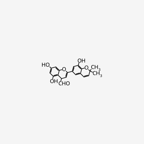 CC1(C)C=Cc2cc(C3=CC(C=O)c4c(O)cc(O)cc4O3)cc(O)c2O1